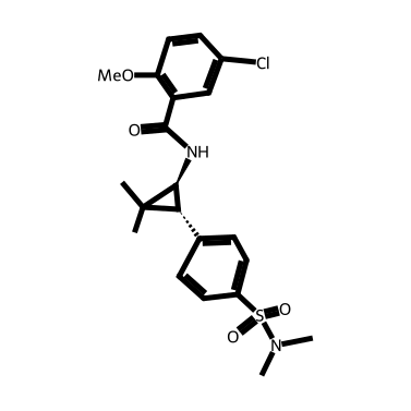 COc1ccc(Cl)cc1C(=O)N[C@H]1[C@H](c2ccc(S(=O)(=O)N(C)C)cc2)C1(C)C